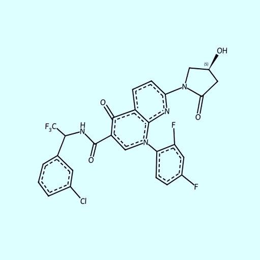 O=C(NC(c1cccc(Cl)c1)C(F)(F)F)c1cn(-c2ccc(F)cc2F)c2nc(N3C[C@@H](O)CC3=O)ccc2c1=O